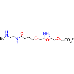 CCOC(=O)COCCOC(N)COCCCC(=O)NCCNC(C)(C)C